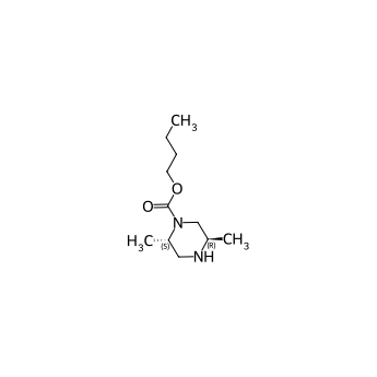 CCCCOC(=O)N1C[C@@H](C)NC[C@@H]1C